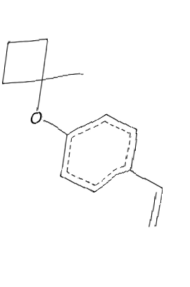 C=Cc1ccc(OC2(C)CCC2)cc1